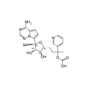 CC(CC[C@H]1O[C@@](C#N)(c2ccc3c(N)ncnn23)[C@H](O)[C@@H]1O)(OC(=O)O)c1cccnc1